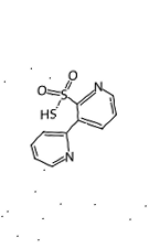 O=S(=O)(S)c1ncccc1-c1ccccn1